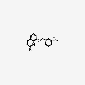 COc1cccc(COc2cccc3ccc(Br)nc23)c1